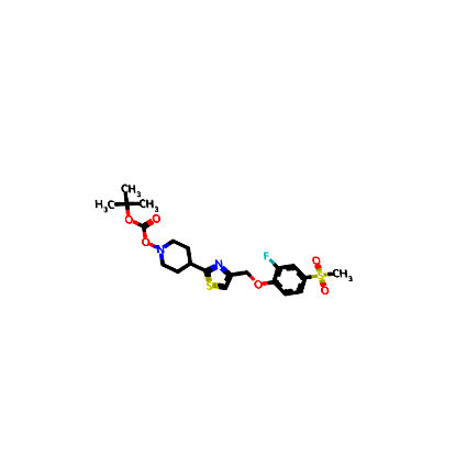 CC(C)(C)OC(=O)ON1CCC(c2nc(COc3ccc(S(C)(=O)=O)cc3F)cs2)CC1